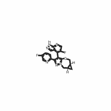 Fc1ccc(-c2nn3c(c2-c2c(F)cnc4[nH]ncc24)OC[C@H]2C[C@H]2C3)nc1